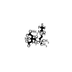 C[N+](C)(C)CCO.NC(=O)C(F)(F)F.O=C([O-])CC(O)(CC(=O)O)C(=O)O